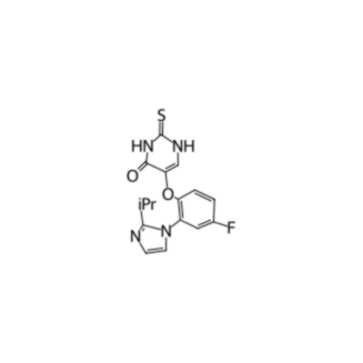 CC(C)c1nccn1-c1cc(F)ccc1Oc1c[nH]c(=S)[nH]c1=O